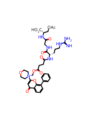 CC(=O)OC[C@H](NC(=O)CNC(=O)[C@H](CCCNC(=N)N)NC(=O)CCC(=O)OC[N+]1(c2cc(=O)c3cccc(-c4ccccc4)c3o2)CCOCC1)C(=O)O